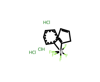 Cl.Cl.Cl.[F][Ti]([F])([F])([F])([F])([C]1=CC=CC1)[c]1ccccc1